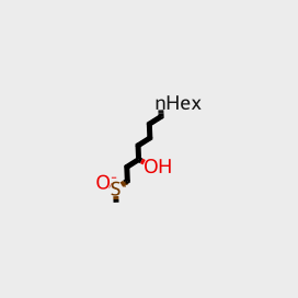 CCCCCCCCCCC(O)CC[S+](C)[O-]